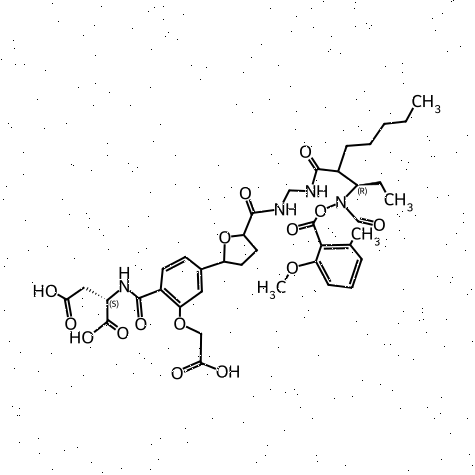 CCCCCC(C(=O)NCNC(=O)C1CCC(c2ccc(C(=O)N[C@@H](CC(=O)O)C(=O)O)c(OCC(=O)O)c2)O1)[C@@H](CC)N(C=O)OC(=O)c1c(C)cccc1OC